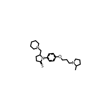 CC1CCCN1CCCOc1ccc(N2C(=S)CCC2CN2CCCCC2)cc1